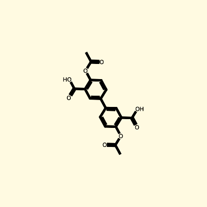 CC(=O)Oc1ccc(-c2ccc(OC(C)=O)c(C(=O)O)c2)cc1C(=O)O